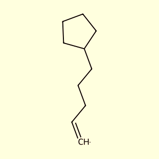 [CH]=CCCCC1CCCC1